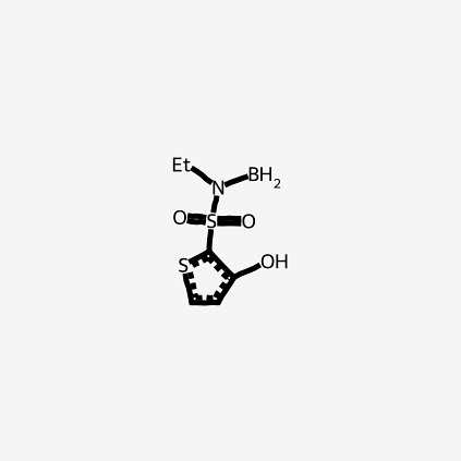 BN(CC)S(=O)(=O)c1sccc1O